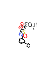 CN(C(=O)c1cccc(-c2ccccc2)c1)c1cc2oc(=O)c(C(=O)O)cc2s1